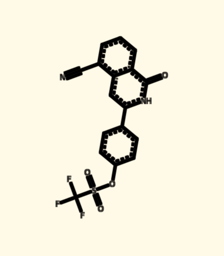 N#Cc1cccc2c(=O)[nH]c(-c3ccc(OS(=O)(=O)C(F)(F)F)cc3)cc12